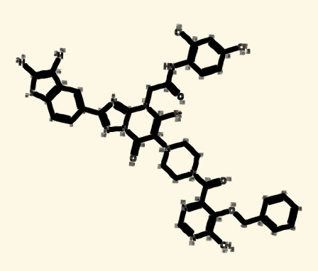 [2H]c1sc2ccc(-c3nc4n(CC(=O)Nc5ccc(C(F)(F)F)cc5Cl)c(CC)c(N5CCN(C(=O)c6ncnc(C)c6OCc6ccccc6)CC5)c(=O)n4n3)cc2c1[2H]